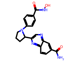 NC(=O)c1ccc2nc(C3CCCN3c3ccc(C(=O)NO)cc3)cnc2c1